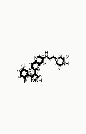 C[C@@H]1CN(CCNc2cnc3ccc(-c4c[nH]nc4-c4cc(Cl)ccc4F)nc3c2)C[C@H](C)N1